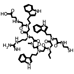 CCCN(CC(=O)N(CCc1c[nH]c2ccccc12)CC(=O)NCCS)C(=O)CN(CCc1c[nH]c2ccccc12)C(=O)CN(C)C(=O)CN(CCCNC(=N)N)C(=O)CN(CCc1c[nH]c2ccccc12)C(=O)CNCCC(=O)O